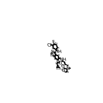 CN(C/C=C/C(=O)Nc1cc2c(Nc3ccc(F)c(Cl)c3)ncnc2cc1OCC1CC1)C1CCOC1=O